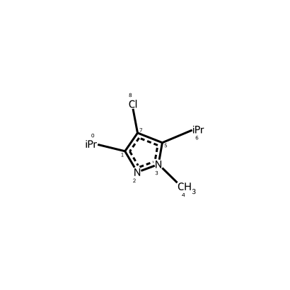 CC(C)c1nn(C)c(C(C)C)c1Cl